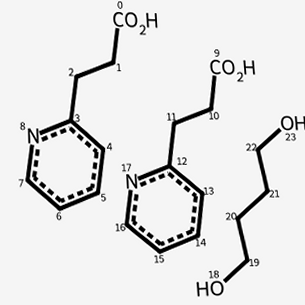 O=C(O)CCc1ccccn1.O=C(O)CCc1ccccn1.OCCCCO